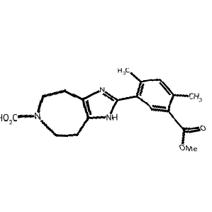 COC(=O)c1cc(-c2nc3c([nH]2)CCN(C(=O)O)CC3)c(C)cc1C